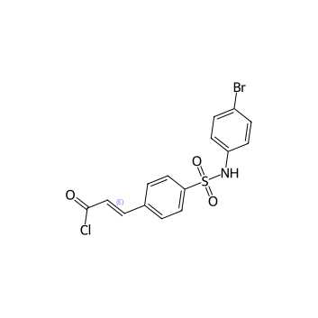 O=C(Cl)/C=C/c1ccc(S(=O)(=O)Nc2ccc(Br)cc2)cc1